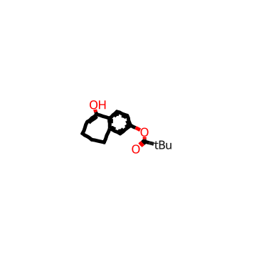 CC(C)(C)C(=O)Oc1ccc2c(c1)CCCC=C2O